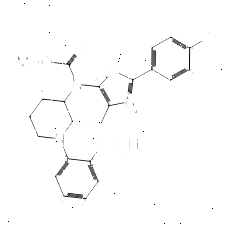 COC(=O)N(c1sc(-c2ccc(Cl)cc2)nc1C)C1CCCN(c2ccccc2C(=O)O)C1